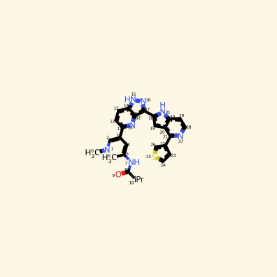 C=N/C=C(\C=C(/C)NC(=O)C(C)C)c1ccc2[nH]nc(-c3cc4c(-c5ccsc5)nccc4[nH]3)c2n1